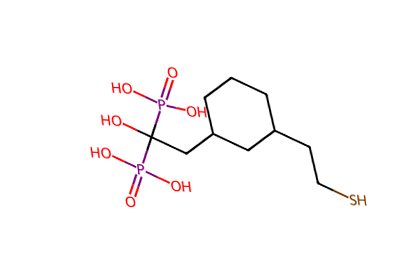 O=P(O)(O)C(O)(CC1CCCC(CCS)C1)P(=O)(O)O